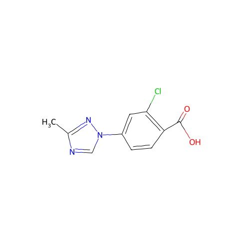 Cc1ncn(-c2ccc(C(=O)O)c(Cl)c2)n1